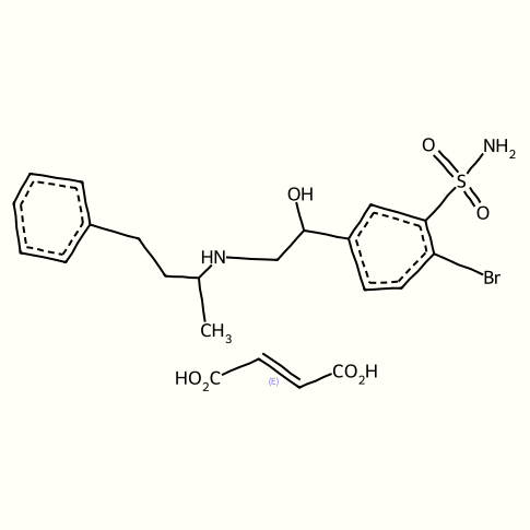 CC(CCc1ccccc1)NCC(O)c1ccc(Br)c(S(N)(=O)=O)c1.O=C(O)/C=C/C(=O)O